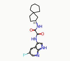 O=C(Nc1c[nH]c2ncc(F)cc12)C(=O)N[C@H]1CCC2(CCCCC2)C1